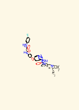 CCN(CC)CCCN(C)C(=O)Nc1cc(Oc2ccc(NC(=O)CC(=O)Nc3ccc(F)cc3)cc2)ccn1